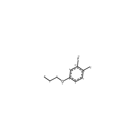 [CH2]c1ccc(OCCC)cc1F